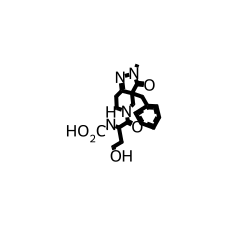 CN1N=C2CCN(C(=O)C(CCO)NC(=O)O)CC2(Cc2ccccc2)C1=O